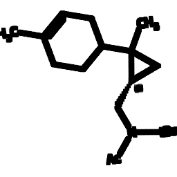 CC(=O)N(C[C@H]1CC1(C)C1CC=C(C)CC1)C(C)(C)C